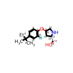 CCC(C)(C)c1ccc(O[C@H]2CN[C@H](CO)C2)c(F)c1